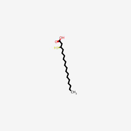 CCCCCCCCCCCCCCCC(S)CC(=O)O